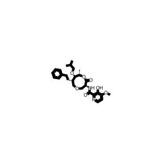 COc1ccnc(C(=O)N[C@H]2COC[C@H](CCc3ccccc3)[C@@H](OCC(C)C)[C@H](C)OC2=O)c1O